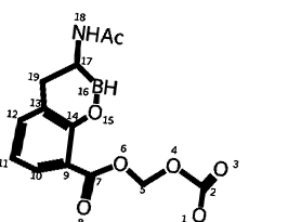 CCCCOC(=O)OCOC(=O)c1cccc2c1OBC(NC(C)=O)C2